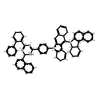 C1=CCC2C(=C1)C=c1c(c3c(n1-c1ccc(C4=NC(C5=CCCC=C5c5ccccc5)=NC(c5cccc6ccccc56)N4)cc1)CCC=C3)=C2N1c2ccc3ccccc3c2C2C=CCCC21